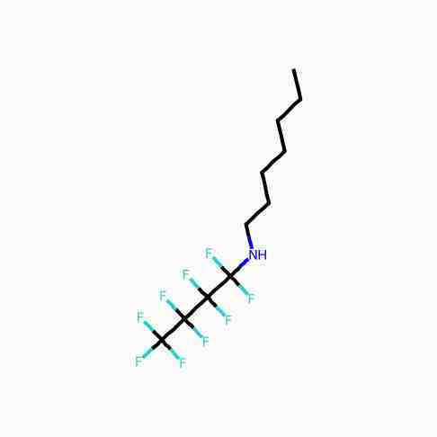 CCCCCCCNC(F)(F)C(F)(F)C(F)(F)C(F)(F)F